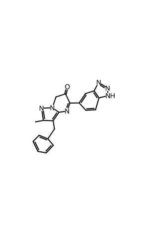 Cc1nn2c(c1Cc1ccccc1)N=C(c1ccc3[nH]nnc3c1)C(=O)C2